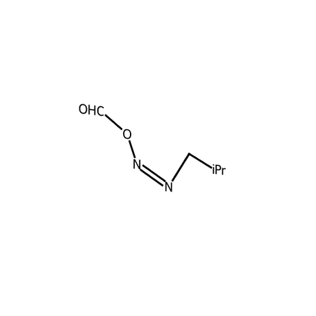 CC(C)C/N=N\OC=O